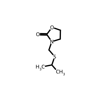 CC(C)SCN1CCOC1=O